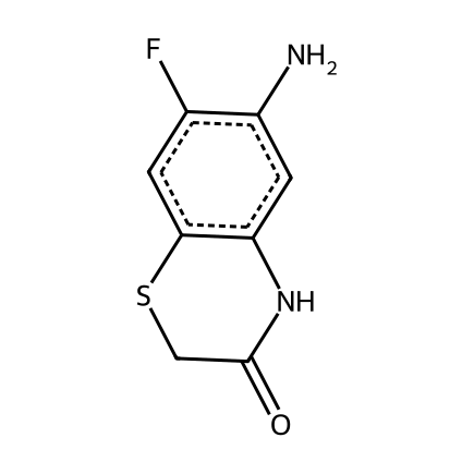 Nc1cc2c(cc1F)SCC(=O)N2